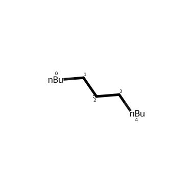 CCCCC[C]CCCCC